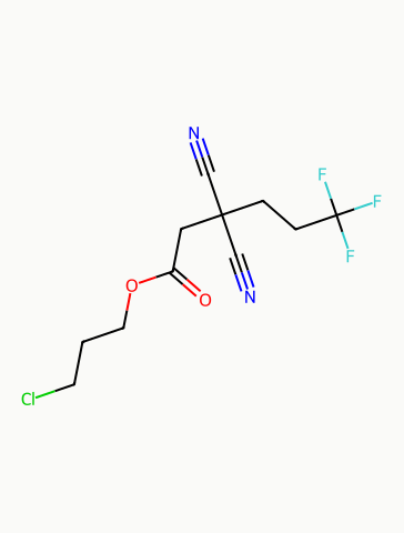 N#CC(C#N)(CCC(F)(F)F)CC(=O)OCCCCl